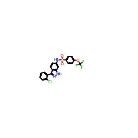 O=S(=O)(Nc1ccc2c(-c3ccccc3Cl)n[nH]c2c1)c1ccc(OC(F)(F)F)cc1